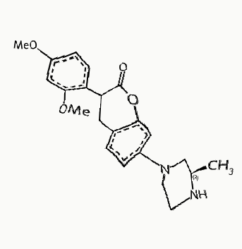 COc1ccc(C2Cc3ccc(N4CCN[C@H](C)C4)cc3OC2=O)c(OC)c1